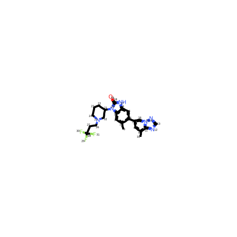 Cc1cc2c(cc1-c1cc(C)c3ncnn3c1)[nH]c(=O)n2C1CCCN(CCC(F)(F)F)C1